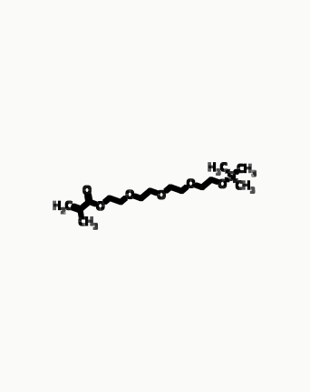 C=C(C)C(=O)OCCOCCOCCOCCO[Si](C)(C)C